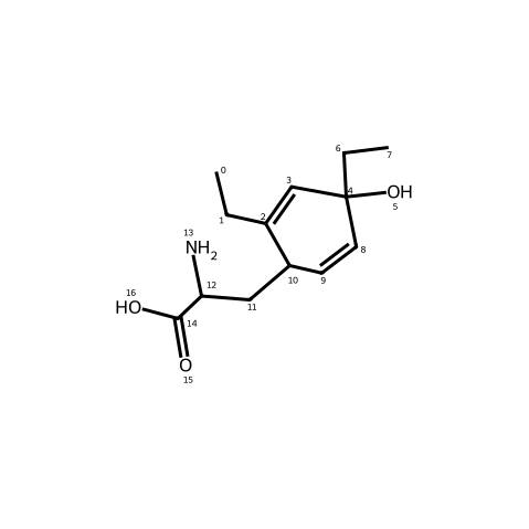 CCC1=CC(O)(CC)C=CC1CC(N)C(=O)O